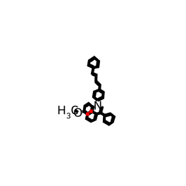 COc1ccc(N(C=C(c2ccccc2)c2ccccc2)c2ccc(C=CC=Cc3ccccc3)cc2)cc1